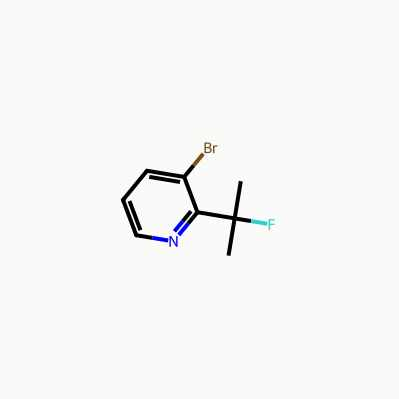 CC(C)(F)c1ncccc1Br